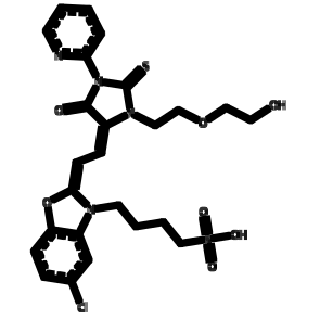 O=C1C(=CC=C2Oc3ccc(Cl)cc3N2CCCCS(=O)(=O)O)N(CCOCCO)C(=S)N1c1ccccn1